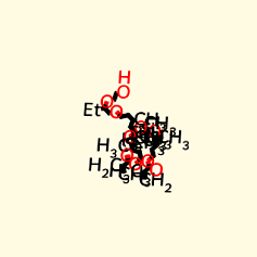 C=C(C)C(=O)OCCC[Si](C)(C)O[Si](C)(C)O[Si](C)(CC(C)CCOCC(CC)OCCO)O[Si](C)(C)CCCOC(=O)C(=C)C